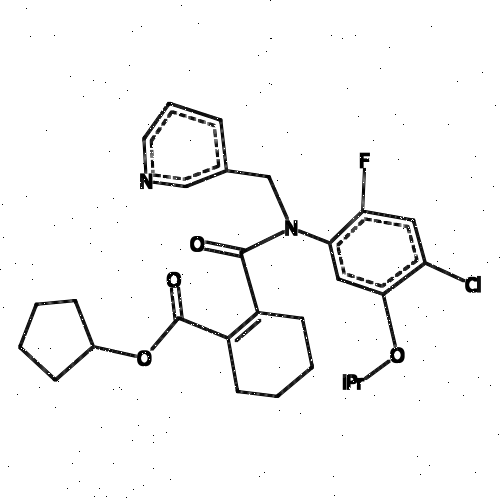 CC(C)Oc1cc(N(Cc2cccnc2)C(=O)C2=C(C(=O)OC3CCCC3)CCCC2)c(F)cc1Cl